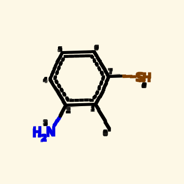 Cc1c(N)cccc1S